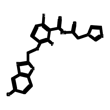 O=C(Cn1ccnc1)NC(=O)c1c(F)ccc(OCc2nc3cc(Cl)ccc3s2)c1F